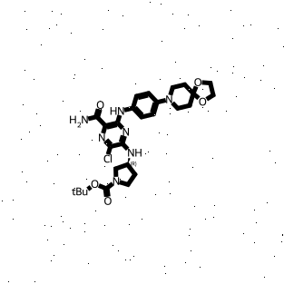 CC(C)(C)OC(=O)N1CC[C@@H](Nc2nc(Nc3ccc(N4CCC5(CC4)OCCO5)cc3)c(C(N)=O)nc2Cl)C1